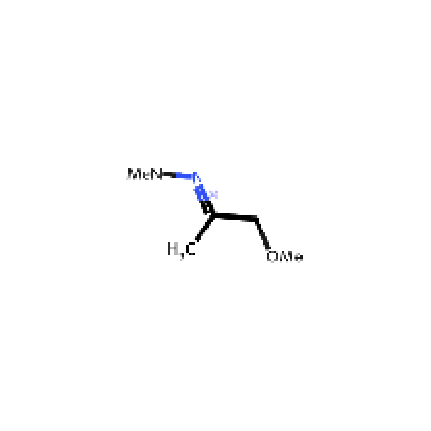 CN/N=C(\C)COC